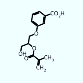 C=C(C)C(=O)OC(CO)COc1cccc(C(=O)O)c1